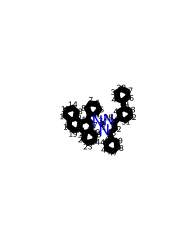 CN1C(n2c3ccccc3c3c4c5ccccc5ccc4c4ccccc4c32)=NC(c2cccc(-c3ccccc3)c2)=CC1c1ccccc1